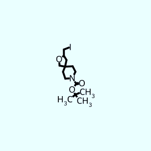 CC(C)(C)OC(=O)N1CCC2(CC1)COC(CI)C2